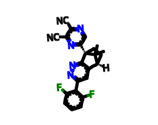 CC1(C)[C@H]2CC[C@]1(c1cnc(C#N)c(C#N)n1)c1nnc(-c3c(F)cccc3F)cc12